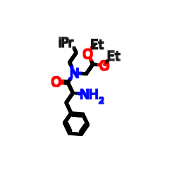 CCOC(CN(CCC(C)C)C(=O)[C@@H](N)Cc1ccccc1)OCC